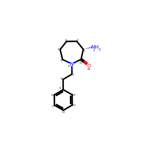 N[C@H]1CCCCN(CCc2ccccc2)C1=O